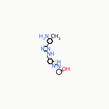 Cc1ccc(-c2cncc(NCc3ccc4nc(NC5CCCC[C@H]5O)sc4c3)n2)cc1N